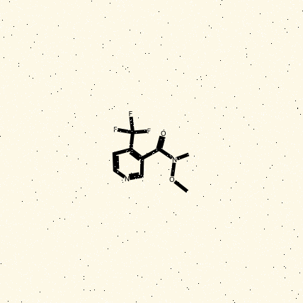 CON(C)C(=O)c1cnccc1C(F)(F)F